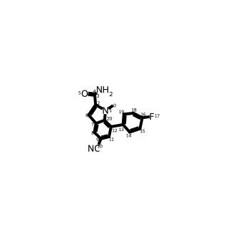 Cn1c(C(N)=O)cc2cc(C#N)cc(-c3ccc(F)cc3)c21